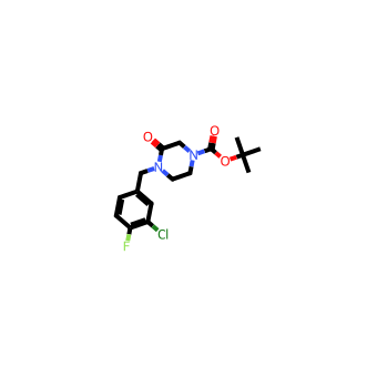 CC(C)(C)OC(=O)N1CCN(Cc2ccc(F)c(Cl)c2)C(=O)C1